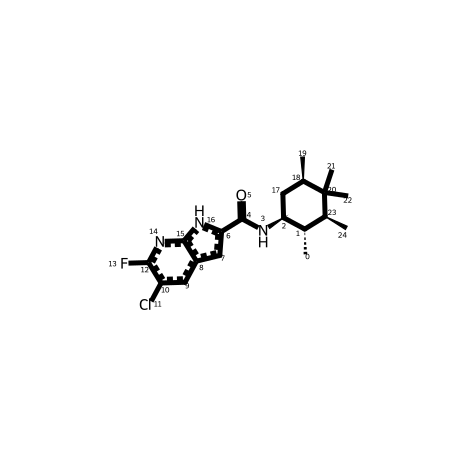 C[C@@H]1[C@@H](NC(=O)c2cc3cc(Cl)c(F)nc3[nH]2)C[C@@H](C)C(C)(C)[C@H]1C